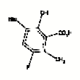 Cc1c(F)cc(C(C)(C)C)c(O)c1C(=O)O